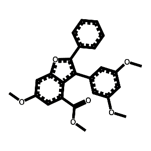 COC(=O)c1cc(OC)cc2oc(-c3ccccc3)c(-c3cc(OC)cc(OC)c3)c12